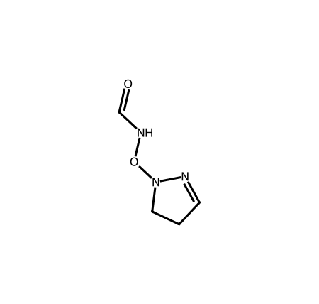 O=CNON1CCC=N1